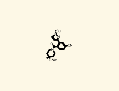 COC1(C)CCN(C(=O)c2ccc(C#N)cc2-c2ccn(C(C)(C)C)n2)CC1